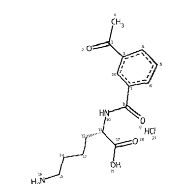 CC(=O)c1cccc(C(=O)N[C@@H](CCCCN)C(=O)O)c1.Cl